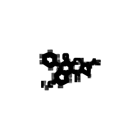 CC(=O)N1CC(Nc2c(C#N)c(=O)n(-c3ccccc3)c3cc(C(F)(F)F)ccc23)C1